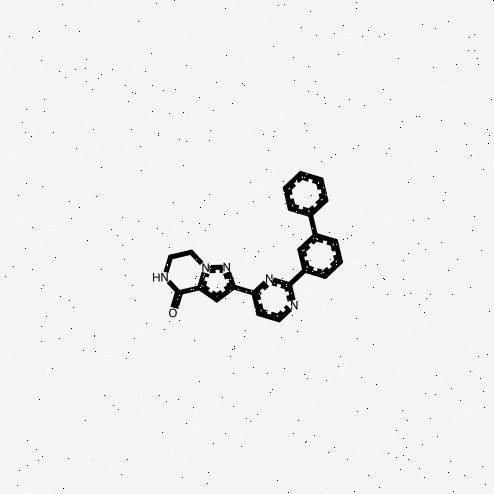 O=C1NCCn2nc(-c3ccnc(-c4cccc(-c5ccccc5)c4)n3)cc21